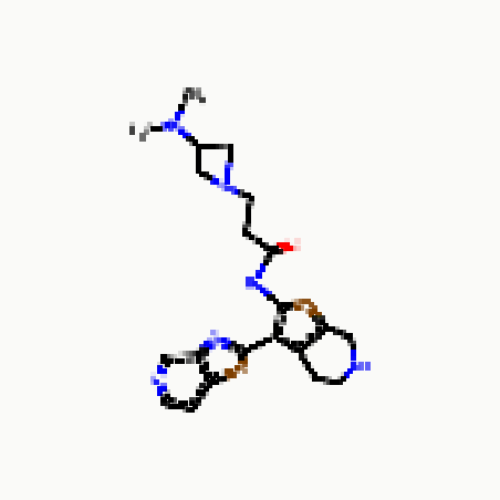 CN(C)C1CN(CCC(=O)Nc2sc3c(c2-c2nc4cnccc4s2)CCNC3)C1